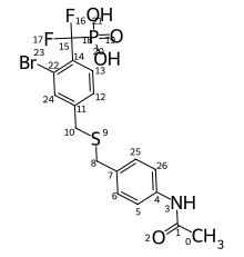 CC(=O)Nc1ccc(CSCc2ccc(C(F)(F)P(=O)(O)O)c(Br)c2)cc1